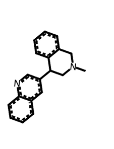 CN1Cc2ccccc2C(c2cnc3ccccc3c2)C1